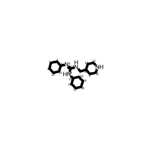 C1CCC(/N=C(/NCC2CCNCC2)NC2CCCCC2)CC1